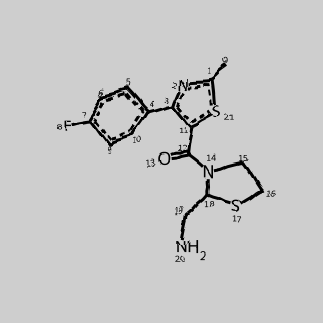 Cc1nc(-c2ccc(F)cc2)c(C(=O)N2CCSC2CN)s1